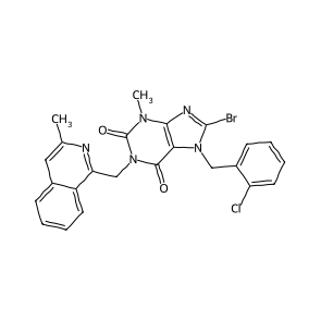 Cc1cc2ccccc2c(Cn2c(=O)c3c(nc(Br)n3Cc3ccccc3Cl)n(C)c2=O)n1